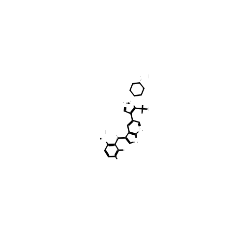 COc1ccc(F)c(Cl)c1[C@@H](C)c1c[nH]c2ncc(-c3cnn([C@H]4CC[C@H](O)CC4)c3C(F)(F)F)cc12